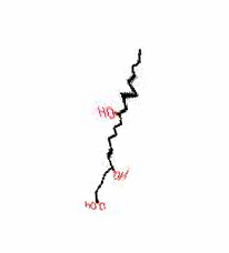 CCCCCC=CCC(O)C=CC=CC=CC(O)CCCC(=O)O